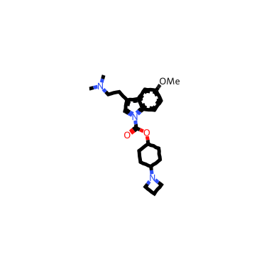 COc1ccc2c(c1)c(CCN(C)C)cn2C(=O)OC1CCC(N2CCC2)CC1